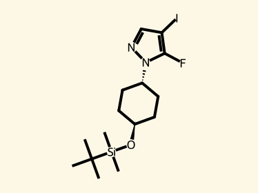 CC(C)(C)[Si](C)(C)O[C@H]1CC[C@H](n2ncc(I)c2F)CC1